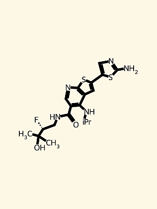 CC(C)Nc1c(C(=O)NC[C@@H](F)C(C)(C)O)cnc2sc(-c3cnc(N)s3)cc12